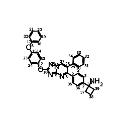 NC1(c2ccc(-c3nc4nc(Oc5ccc(Oc6ccccc6)cc5)nn4cc3-c3ccccc3)cc2)CCC1